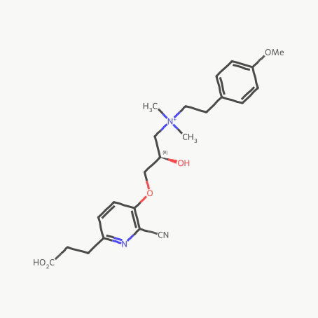 COc1ccc(CC[N+](C)(C)C[C@@H](O)COc2ccc(CCC(=O)O)nc2C#N)cc1